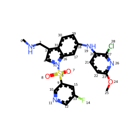 CNCc1cn(S(=O)(=O)c2cncc(F)c2)c2cc(Nc3ccc(OC)nc3Cl)ccc12